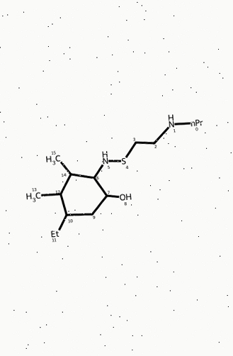 CCCNCCSNC1C(O)CC(CC)C(C)C1C